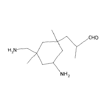 CC(C=O)CC1(C)CC(N)CC(C)(CN)C1